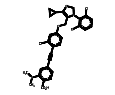 CN(C)c1cc(C#Cc2ccc(OCC3=C(C4CC4)OCN3c3c(Cl)cccc3Cl)cc2Cl)ccc1C(=O)O